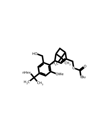 CCCCCCC(C)(C)c1cc(CO)c(C2C=C(COC(=O)C(C)(C)C)C3CC2C3(C)C)c(OC)c1